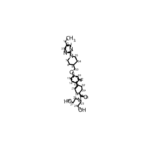 CCc1cnc(N2CCC(COc3ccc(C4=CCC(C(=O)N(CCO)CCO)CC4)c(F)c3)CC2)nc1